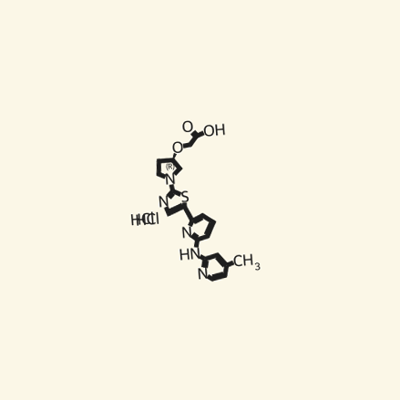 Cc1ccnc(Nc2cccc(-c3cnc(N4CC[C@@H](OCC(=O)O)C4)s3)n2)c1.Cl.Cl